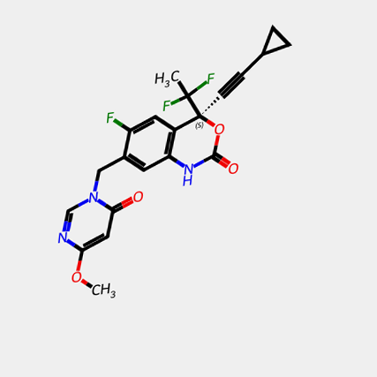 COc1cc(=O)n(Cc2cc3c(cc2F)[C@@](C#CC2CC2)(C(C)(F)F)OC(=O)N3)cn1